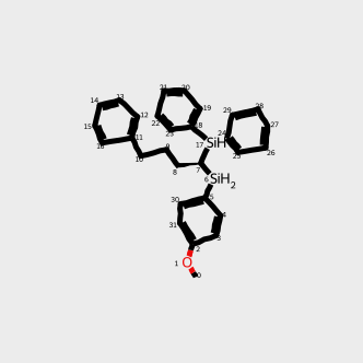 COc1ccc([SiH2][C@@H](CCCc2ccccc2)[SiH](c2ccccc2)c2ccccc2)cc1